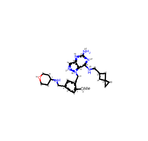 COc1ccc(CNC2CCOCC2)cc1Cn1ncc2nc(N)nc(NCC3CC4(CC4)C3)c21